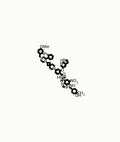 COc1ccc(CN2CCN(C3CC4(CCN(c5ccc(C(=O)NS(=O)(=O)c6cc([N+](=O)[O-])c(NCC7CCC(C)(O)CC7)c7[nH]cnc67)c(Oc6cnc7[nH]ccc7c6)c5)CC4)C3)C(c3ccccc3C(C)C)C2)cc1